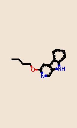 CCCCOc1cc2c(cn1)[nH]c1ccccc12